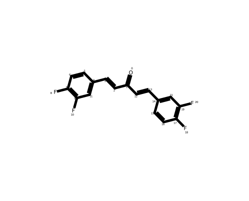 O=C(/C=C/c1ccc(F)c(F)c1)/C=C/c1ccc(F)c(F)c1